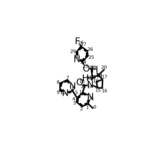 Cc1ccc(-c2ncccn2)c(C(=O)N2C3CC(C3)[C@@H](C)[C@H]2COc2ccc(F)cn2)n1